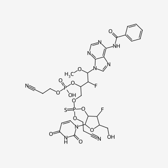 COC(C(F)C(COP(=S)(OCCC#N)OC1C(F)C(CO)OC1n1ccc(=O)[nH]c1=O)OP(=O)(O)OCCC#N)n1cnc2c(NC(=O)c3ccccc3)ncnc21